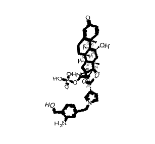 C[C@]12C=CC(=O)C=C1CC[C@H]1[C@@H]3C[C@H]4O[C@@H](c5ccn(Cc6ccc(CO)c(N)c6)c5)O[C@@]4(C(=O)COP(=O)(O)O)[C@@]3(C)C[C@H](O)[C@@]12F